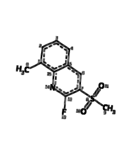 Cc1cccc2cc(S(C)(=O)=O)c(F)nc12